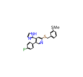 CSc1cccc(CSc2cc(-c3ncc[nH]3)c(-c3ccc(F)cc3)cn2)c1